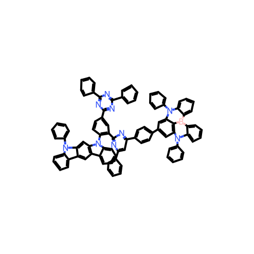 c1ccc(-c2cc(-c3ccc(-c4cc5c6c(c4)N(c4ccccc4)c4ccccc4B6c4ccccc4N5c4ccccc4)cc3)nc(-c3cc(-c4nc(-c5ccccc5)nc(-c5ccccc5)n4)ccc3-n3c4ccccc4c4cc5c6ccccc6n(-c6ccccc6)c5cc43)n2)cc1